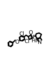 O=C1C(Cc2c(Cl)cc(OCc3ccccc3)cc2Cl)CCN1[C@@H]1CCCc2cn[nH]c21